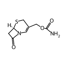 NC(=O)OCC1=CN2C(=O)C[C@H]2SC1